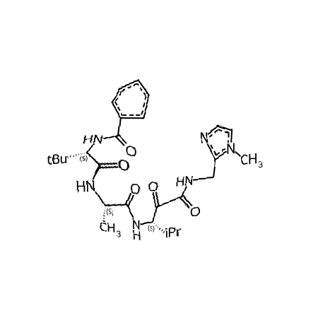 CC(C)[C@H](NC(=O)[C@H](C)NC(=O)[C@@H](NC(=O)c1ccccc1)C(C)(C)C)C(=O)C(=O)NCc1nccn1C